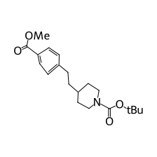 COC(=O)c1ccc(CCC2CCN(C(=O)OC(C)(C)C)CC2)cc1